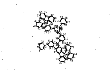 c1ccc(-c2ccc3c(c2)c2cc4c(cc2n3-c2cccc(-c3nc(-c5ccccc5)nc(-c5cccc([Si](c6ccccc6)(c6ccccc6)c6ccccc6)c5)n3)c2)C(c2ccccc2)(c2ccccc2)c2ccccc2-4)cc1